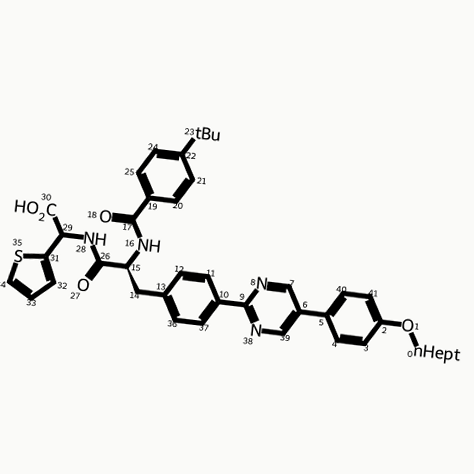 CCCCCCCOc1ccc(-c2cnc(-c3ccc(C[C@H](NC(=O)c4ccc(C(C)(C)C)cc4)C(=O)NC(C(=O)O)c4cccs4)cc3)nc2)cc1